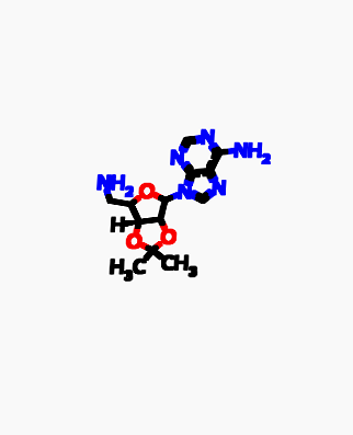 CC1(C)OC2C(n3cnc4c(N)ncnc43)OC(CN)[C@H]2O1